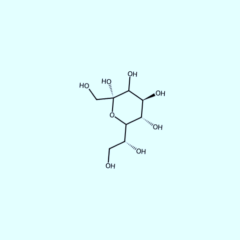 OC[C@@H](O)C1O[C@@](O)(CO)C(O)[C@@H](O)[C@@H]1O